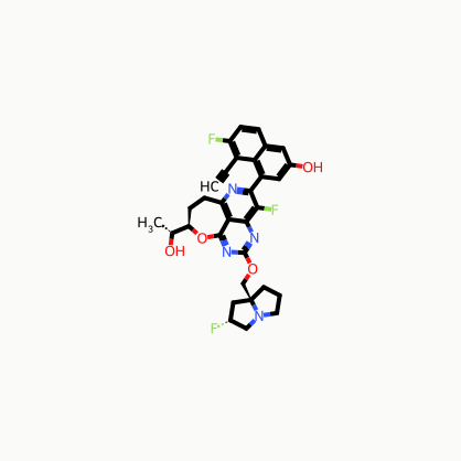 C#Cc1c(F)ccc2cc(O)cc(-c3nc4c5c(nc(OC[C@@]67CCCN6C[C@H](F)C7)nc5c3F)O[C@@H]([C@@H](C)O)CC4)c12